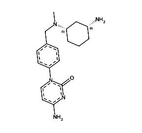 CN(Cc1ccc(-n2ccc(N)nc2=O)cc1)[C@H]1CCC[C@@H](N)C1